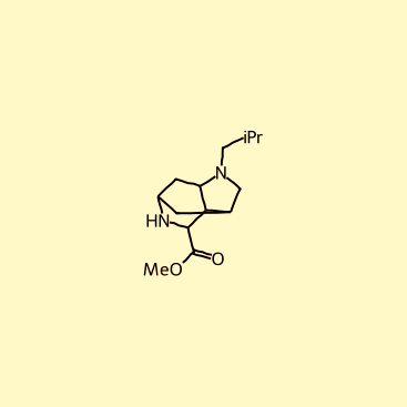 COC(=O)C1NC2CC3CN(CC(C)C)C(C2)C31